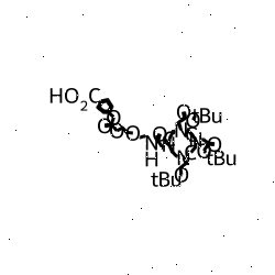 CC(C)(C)OCCN1CCN(CC(=O)NCCOCCOC(=O)Oc2ccc(C(=O)O)cc2)CCN(CC(=O)OC(C)(C)C)CCN(CC(=O)OC(C)(C)C)CC1